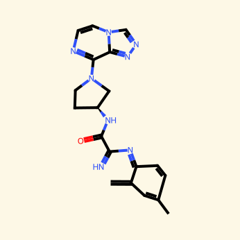 C=C1C=C(C)C=C/C1=N/C(=N)C(=O)N[C@H]1CCN(c2nccn3cnnc23)C1